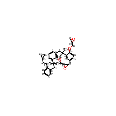 CC(C)(Cc1cccc(C(C)(C)Cc2ccccc2CCC2CC2)c1OCC1CO1)c1ccccc1OCC1CO1